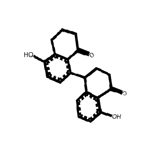 O=C1CCC(c2ccc(O)c3c2C(=O)CCC3)c2cccc(O)c21